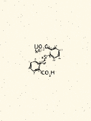 O=C(O)c1ccccc1SSc1ccccc1C(=O)O.[Cu]